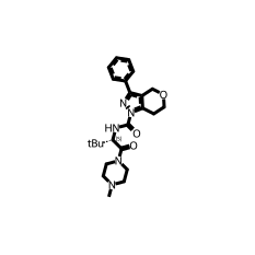 CN1CCN(C(=O)[C@@H](NC(=O)n2nc(-c3ccccc3)c3c2CCOC3)C(C)(C)C)CC1